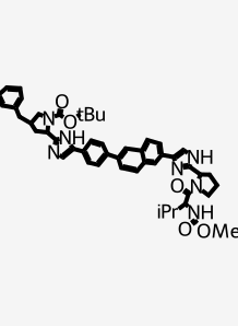 COC(=O)NC(C(=O)N1CCCC1c1nc(-c2ccc3cc(-c4ccc(-c5cnc(C6CC(Cc7ccccc7)CN6C(=O)OC(C)(C)C)[nH]5)cc4)ccc3c2)c[nH]1)C(C)C